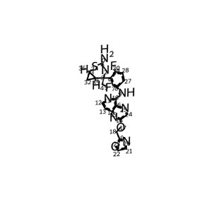 NC1=N[C@](CF)(c2cc(Nc3nccc4nc(OCc5ncco5)cnc34)ccc2F)[C@@H]2C[C@@H]2S1